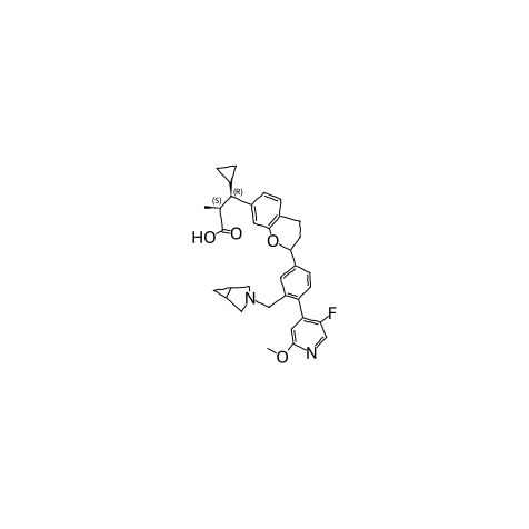 COc1cc(-c2ccc(C3CCc4ccc([C@H](C5CC5)[C@H](C)C(=O)O)cc4O3)cc2CN2CC3CC3C2)c(F)cn1